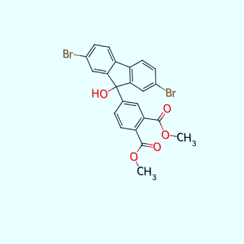 COC(=O)c1ccc(C2(O)c3cc(Br)ccc3-c3ccc(Br)cc32)cc1C(=O)OC